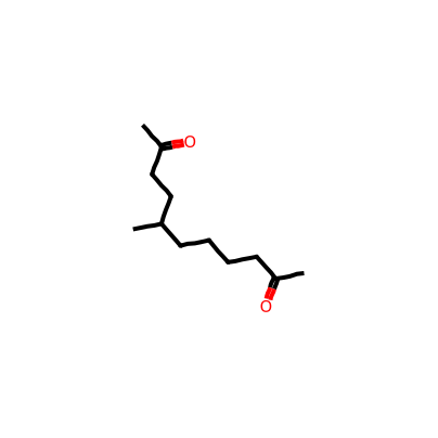 CC(=O)CCCCC(C)CCC(C)=O